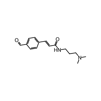 CN(C)CCCNC(=O)/C=C/c1ccc(C=O)cc1